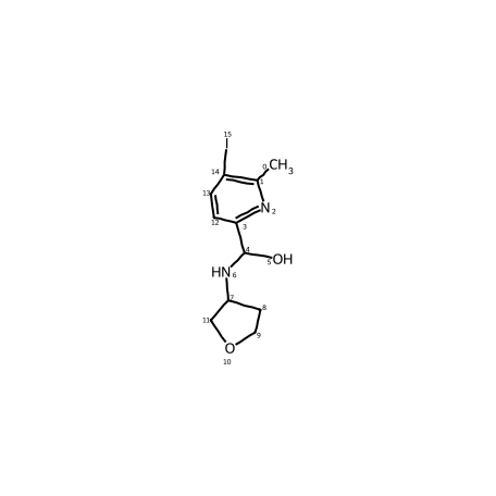 Cc1nc(C(O)NC2CCOC2)ccc1I